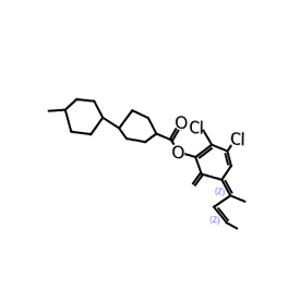 C=c1c(OC(=O)C2CCC(C3CCC(C)CC3)CC2)c(Cl)c(Cl)c/c1=C(C)/C=C\C